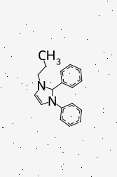 CCCN1C=CN(c2ccccc2)C1c1ccccc1